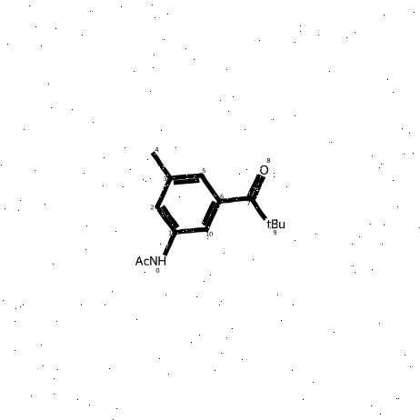 CC(=O)Nc1cc(C)cc(C(=O)C(C)(C)C)c1